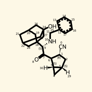 N#C[C@@H]1C[C@@H]2C[C@@H]2C1C(=O)[C@@H](NCc1ccccc1)C12CC3CC(CC(O)(C3)C1)C2